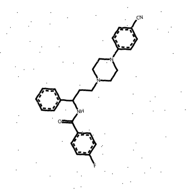 N#Cc1ccc(N2CCN(CCC(NC(=O)c3ccc(F)cc3)c3ccccc3)CC2)cc1